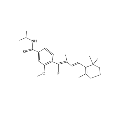 COc1cc(C(=O)NC(C)C)ccc1/C(F)=C(C)/C=C/C1=C(C)CCCC1(C)C